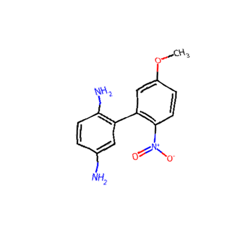 COc1ccc([N+](=O)[O-])c(-c2cc(N)ccc2N)c1